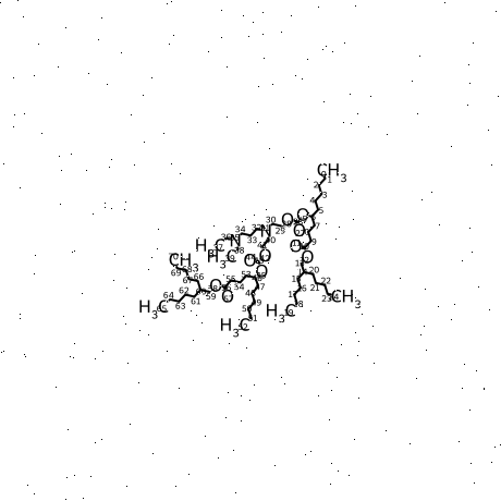 CCCCCCC(CCCC(=O)OCC(CCCCC)CCCCC)OC(=O)OCCN(CCCN(CC)CC)CCOC(=O)OC(CCCCCC)CCCC(=O)OCC(CCCCC)CCCCC